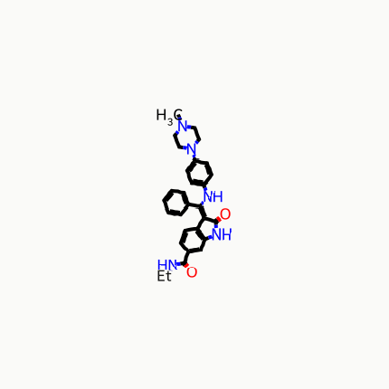 CCNC(=O)c1ccc2c(c1)NC(=O)/C2=C(\Nc1ccc(N2CCN(C)CC2)cc1)c1ccccc1